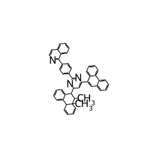 CC1C(c2cc(-c3cc4ccccc4c4ccccc34)nc(-c3ccc(-c4nccc5ccccc45)cc3)n2)c2ccccc2C2C=CC=CC21C